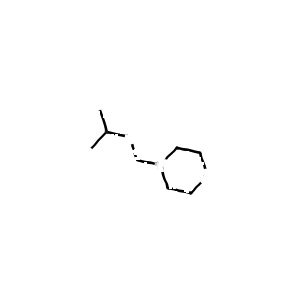 CC(C)SCN1CCOCC1